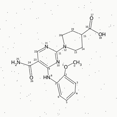 COc1ccccc1Nc1nc(N2CCC(C(=O)O)CC2)ncc1C(N)=O